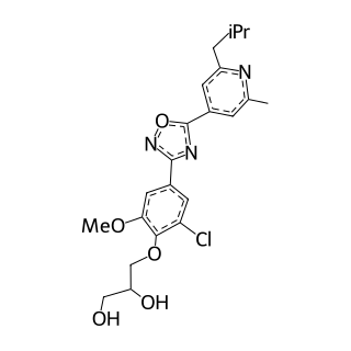 COc1cc(-c2noc(-c3cc(C)nc(CC(C)C)c3)n2)cc(Cl)c1OCC(O)CO